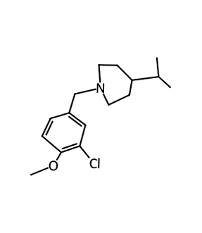 COc1ccc(CN2CCC(C(C)C)CC2)cc1Cl